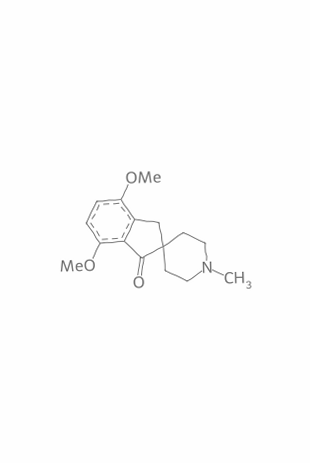 COc1ccc(OC)c2c1CC1(CCN(C)CC1)C2=O